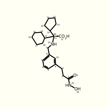 O=C(CCc1cccc(CN[C@](C(=O)O)(C2CCCCC2)C2CCCC2)c1)NO